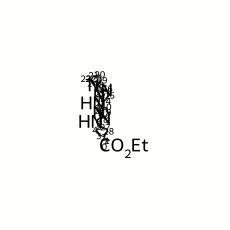 CCOC(=O)Cc1ccc(Nc2nccc(Nc3ccnc(-c4cccc(C)n4)n3)n2)cc1